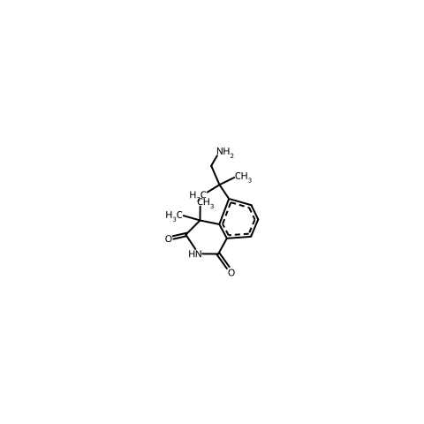 CC(C)(CN)c1cccc2c1C(C)(C)C(=O)NC2=O